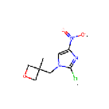 CC1(Cn2cc([N+](=O)[O-])nc2Cl)COC1